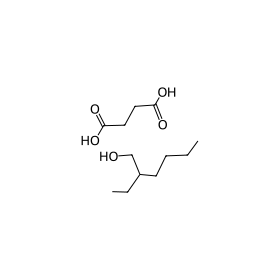 CCCCC(CC)CO.O=C(O)CCC(=O)O